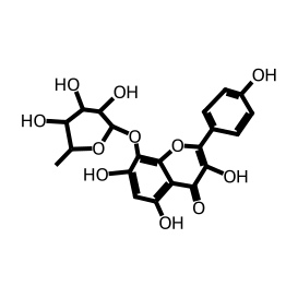 CC1OC(Oc2c(O)cc(O)c3c(=O)c(O)c(-c4ccc(O)cc4)oc23)C(O)C(O)C1O